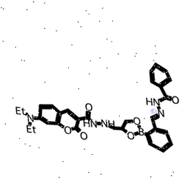 CCN(CC)c1ccc2cc(C(=O)NNCC3COB(c4ccccc4/C=N/NC(=O)c4ccccc4)O3)c(=O)oc2c1